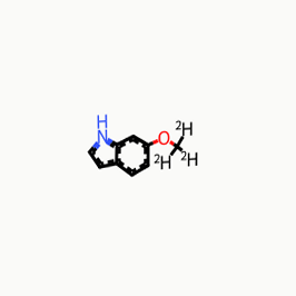 [2H]C([2H])([2H])Oc1ccc2cc[nH]c2c1